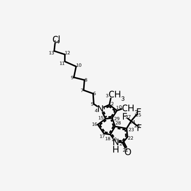 Cc1c(C)n(CCCCCCCCCCl)c2ccc3[nH]c(=O)cc(C(F)(F)F)c3c12